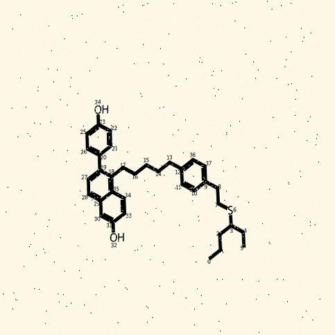 CCCC(CC)SCCc1ccc(CCCCCc2c(-c3ccc(O)cc3)ccc3cc(O)ccc23)cc1